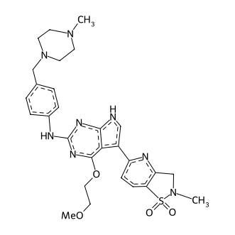 COCCOc1nc(Nc2ccc(CN3CCN(C)CC3)cc2)nc2[nH]cc(-c3ccc4c(n3)CN(C)S4(=O)=O)c12